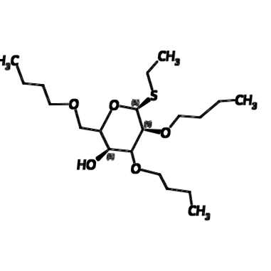 CCCCOCC1O[C@@H](SCC)[C@@H](OCCCC)C(OCCCC)[C@H]1O